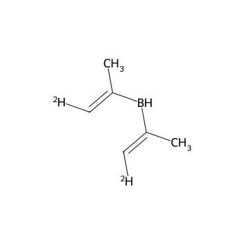 [2H]C=C(C)BC(C)=C[2H]